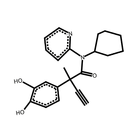 C#CC(C)(C(=O)N(c1ccccn1)C1CCCCC1)c1ccc(O)c(O)c1